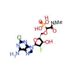 CNC(=O)[C@@H](OC[C@H]1O[C@@H](n2cnc3c(N)nc(Cl)nc32)[C@@H](F)[C@@H]1O)P(=O)(O)O